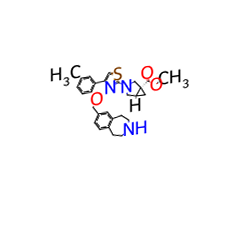 COC(=O)[C@]12C[C@H]1CN(c1nc(-c3cc(C)ccc3OCc3ccc4c(c3)CCNCC4)cs1)C2